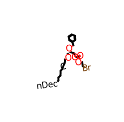 CCCCCCCCCCCCCCCCCCOC[C@H](COC(=O)OCCBr)OCc1ccccc1